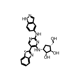 OC[C@H]1C[C@@H](Nc2nc(Nc3ccc4[nH]ncc4c3)ncc2-c2nc3ccccc3s2)[C@H](O)[C@@H]1O